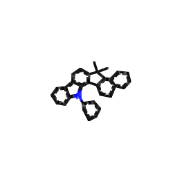 CC1(C)c2ccc3c4ccccc4n(-c4ccccc4)c3c2-c2ccc3ccccc3c21